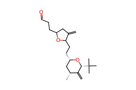 C=C1CC(CCC=O)OC1CC[C@H]1C[C@@H](C)C(=C)[C@@H](C(C)(C)C)O1